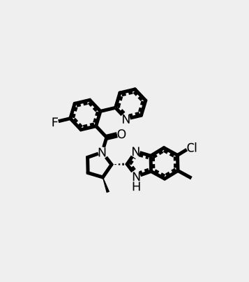 Cc1cc2[nH]c([C@@H]3[C@@H](C)CCN3C(=O)c3cc(F)ccc3-c3ccccn3)nc2cc1Cl